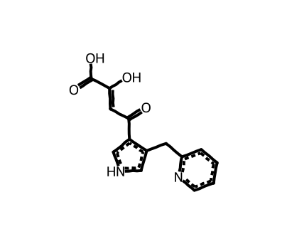 O=C(O)C(O)=CC(=O)c1c[nH]cc1Cc1ccccn1